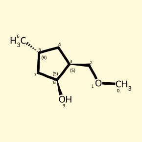 COC[C@@H]1C[C@@H](C)C[C@@H]1O